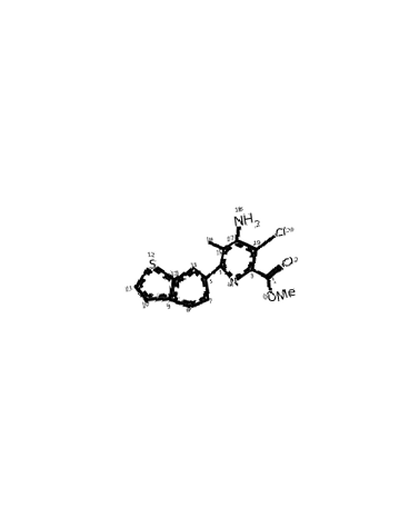 COC(=O)c1nc(-c2ccc3ccsc3c2)c(C)c(N)c1Cl